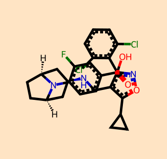 O=C(O)c1ccc(N2[C@@H]3CC[C@H]2C[C@@H](NCc2c(-c4c(Cl)cccc4Cl)noc2C2CC2)C3)c(F)c1